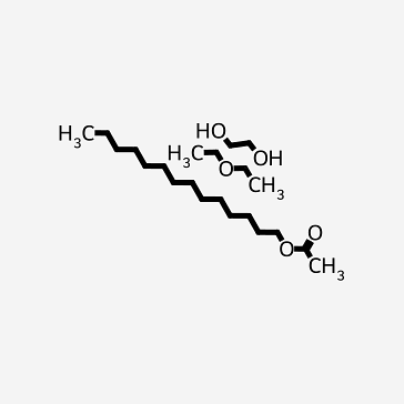 CCCCCCCCCCCCCCOC(C)=O.CCOCC.OCCO